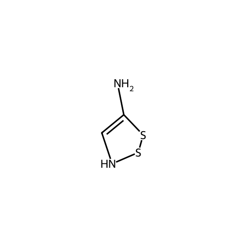 NC1=CNSS1